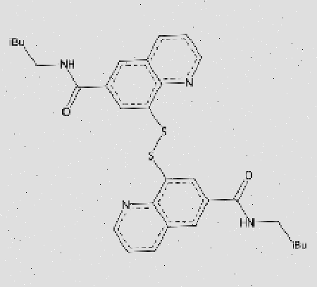 CCC(C)CNC(=O)c1cc(SSc2cc(C(=O)NCC(C)CC)cc3cccnc23)c2ncccc2c1